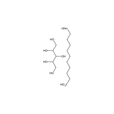 CCCCCCCCCCCCCCCCCCCC(=O)O.OCC(O)C(O)C(O)CO